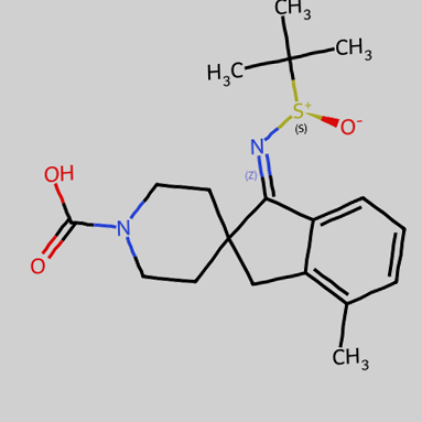 Cc1cccc2c1CC1(CCN(C(=O)O)CC1)/C2=N/[S@+]([O-])C(C)(C)C